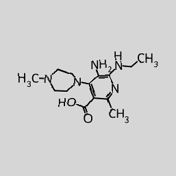 CCNc1nc(C)c(C(=O)O)c(N2CCN(C)CC2)c1N